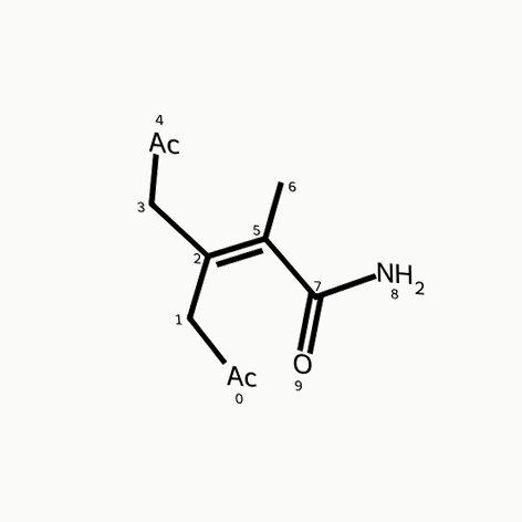 CC(=O)CC(CC(C)=O)=C(C)C(N)=O